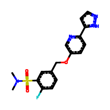 CN(C)S(=O)(=O)c1cc(COc2ccc(-c3ccn[nH]3)nc2)ccc1F